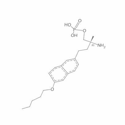 CCCCCOc1ccc2cc(CC[C@@](C)(N)COP(=O)(O)O)ccc2c1